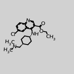 CCOC(=O)c1cnc2ccc(Cl)cc2c1N[C@H]1CC[C@H](CN(C)C)CC1